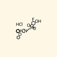 Cl.O=C1C2CC(O)C(F)CC2C(=O)N1CCCN1CCN(c2ccccc2OC2CCCC2)CC1